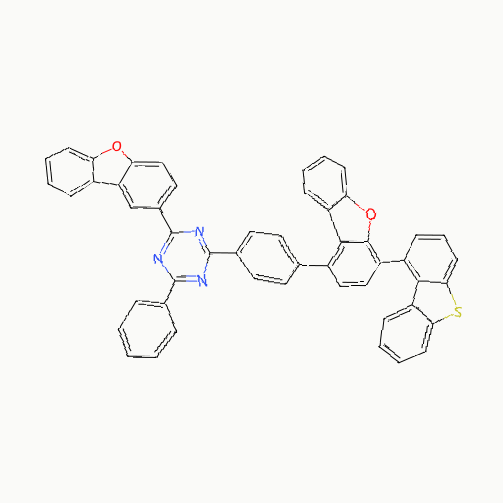 c1ccc(-c2nc(-c3ccc(-c4ccc(-c5cccc6sc7ccccc7c56)c5oc6ccccc6c45)cc3)nc(-c3ccc4oc5ccccc5c4c3)n2)cc1